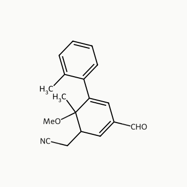 COC1(C)C(c2ccccc2C)=CC(C=O)=CC1CC#N